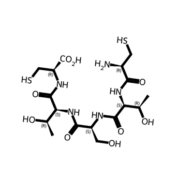 C[C@@H](O)[C@H](NC(=O)[C@H](CO)NC(=O)[C@@H](NC(=O)[C@@H](N)CS)[C@@H](C)O)C(=O)N[C@@H](CS)C(=O)O